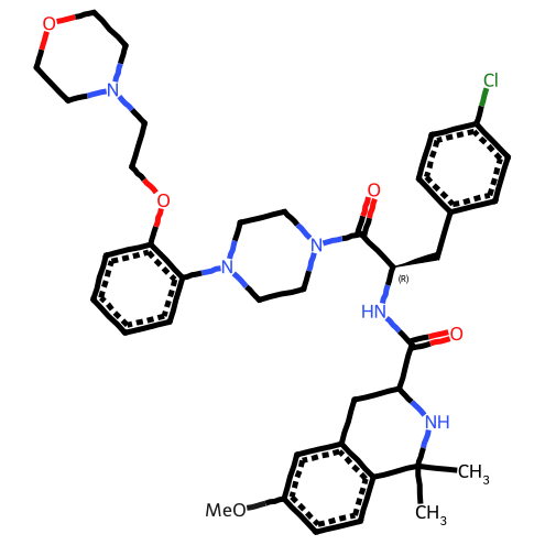 COc1ccc2c(c1)CC(C(=O)N[C@H](Cc1ccc(Cl)cc1)C(=O)N1CCN(c3ccccc3OCCN3CCOCC3)CC1)NC2(C)C